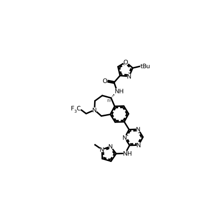 Cn1ccc(Nc2ncnc(-c3ccc4c(c3)CN(CC(F)(F)F)CC[C@@H]4NC(=O)c3coc(C(C)(C)C)n3)n2)n1